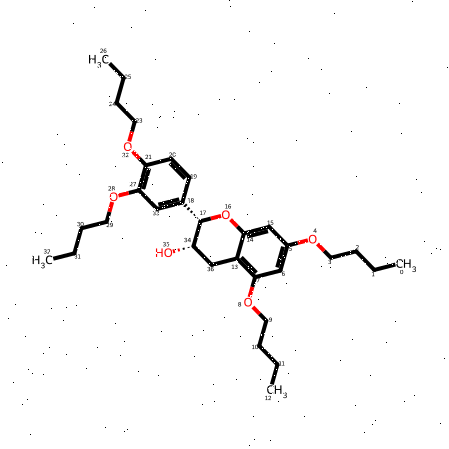 CCCCOc1cc(OCCCC)c2c(c1)O[C@@H](c1ccc(OCCCC)c(OCCCC)c1)[C@@H](O)C2